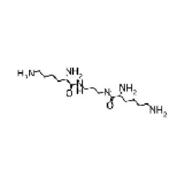 NCCCC[C@H](N)C(=O)[N]CCCNC(=O)[C@@H](N)CCCCN